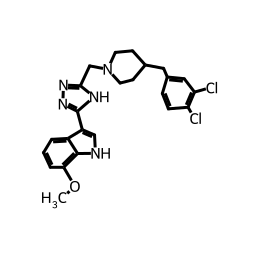 COc1cccc2c(-c3nnc(CN4CCC(Cc5ccc(Cl)c(Cl)c5)CC4)[nH]3)c[nH]c12